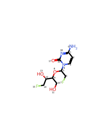 Nc1ccn(C(CF)OC(CO)[C@H](O)CF)c(=O)n1